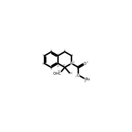 CC(C)(C)OC(=O)N1CCc2ccccc2C1(C)C=O